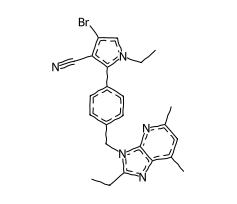 CCc1nc2c(C)cc(C)nc2n1Cc1ccc(-c2c(C#N)c(Br)cn2CC)cc1